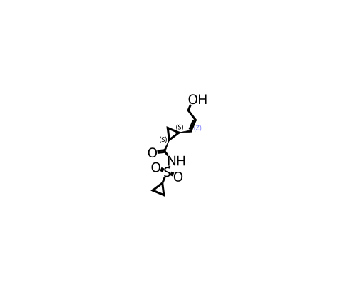 O=C(NS(=O)(=O)C1CC1)[C@H]1C[C@H]1/C=C\CO